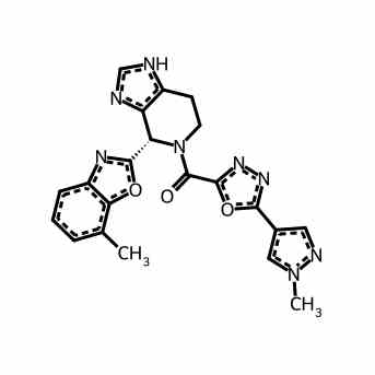 Cc1cccc2nc([C@@H]3c4nc[nH]c4CCN3C(=O)c3nnc(-c4cnn(C)c4)o3)oc12